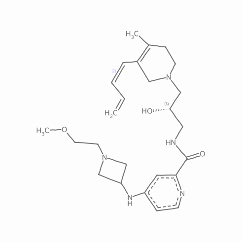 C=C/C=C\C1=C(C)CCN(C[C@@H](O)CNC(=O)c2cc(NC3CN(CCOC)C3)ccn2)C1